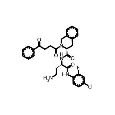 NCC[C@H](NC(=O)[C@@H]1Cc2ccccc2CN1C(=O)CCC(=O)c1ccccc1)C(=O)Nc1ccc(Cl)cc1F